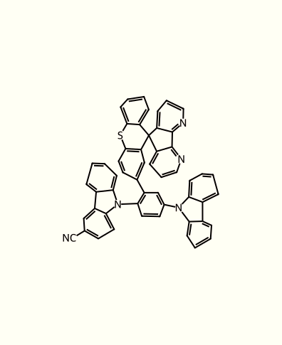 N#Cc1ccc2c(c1)c1ccccc1n2-c1ccc(-n2c3ccccc3c3ccccc32)cc1-c1ccc2c(c1)C1(c3ccccc3S2)c2cccnc2-c2ncccc21